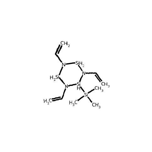 C=CN1[SiH2]N(C=C)[SiH]([Si](C)(C)C)N(C=C)[SiH2]1